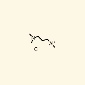 [CH3][Al+][CH2]CCN(C)C.[Cl-]